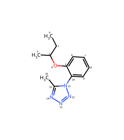 CCC(C)Oc1ccccc1-n1nnnc1C